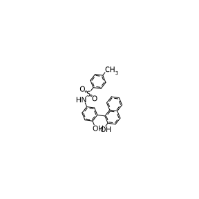 Cc1ccc(S(=O)(=O)Nc2ccc(O)c(-c3c(O)ccc4ccccc34)c2)cc1